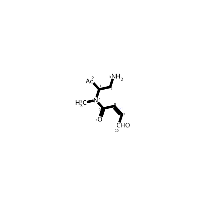 CC(=O)C(CN)N(C)C(=O)/C=C\C=O